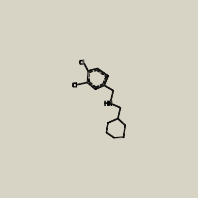 Clc1ccc(CNCC2CCCCC2)cc1Cl